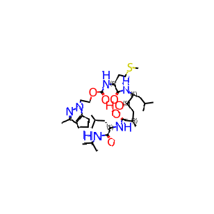 CSCC[C@H](NC(=O)OCCn1nc(C)c2c1CCC2)C(=O)N[C@@H](CC(C)C)[C@@H](O)C[C@@H](C)C(=O)N[C@@H](CC(C)C)C(=O)NC(C)C